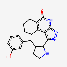 O=c1[nH]c2[nH]nc(C3NCCC3Cc3cccc(O)c3)c2c2c1CCCC2